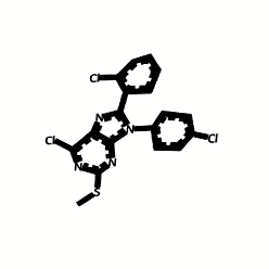 CSc1nc(Cl)c2nc(-c3ccccc3Cl)n(-c3ccc(Cl)cc3)c2n1